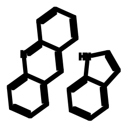 c1ccc2[nH]ccc2c1.c1ccc2nc3ccccc3cc2c1